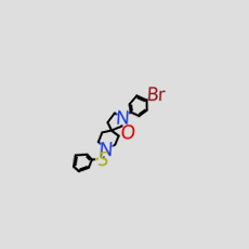 O=C1N(c2ccc(Br)cc2)CCC12CCN(Sc1ccccc1)CC2